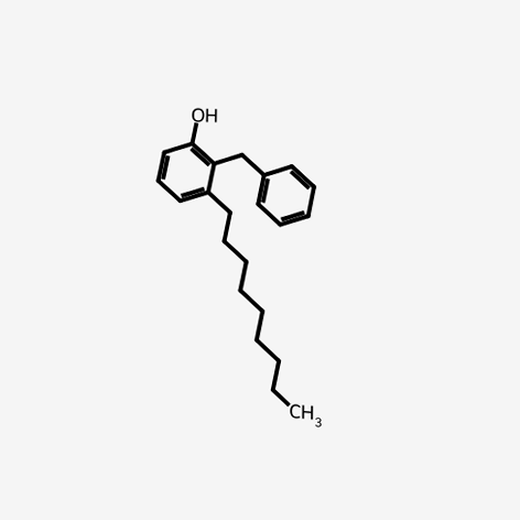 CCCCCCCCCc1cccc(O)c1Cc1ccccc1